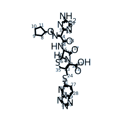 Nc1nc(C(=NOC2CCCC2)C(=O)NC2C(=O)N3C(C(=O)O)=C(CSc4ccc5nnnn5n4)CS[C@@H]23)ns1